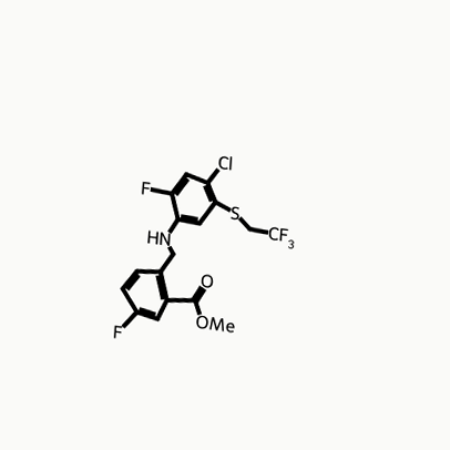 COC(=O)c1cc(F)ccc1CNc1cc(SCC(F)(F)F)c(Cl)cc1F